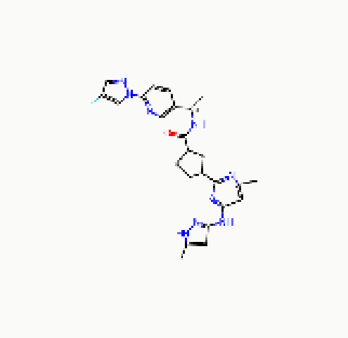 Cc1cc(Nc2cc(C)[nH]n2)nc(C2CCC(C(=O)N[C@@H](C)c3ccc(-n4cc(F)cn4)nc3)C2)n1